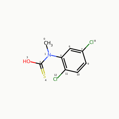 CN(C(O)=S)c1cc(Cl)ccc1Cl